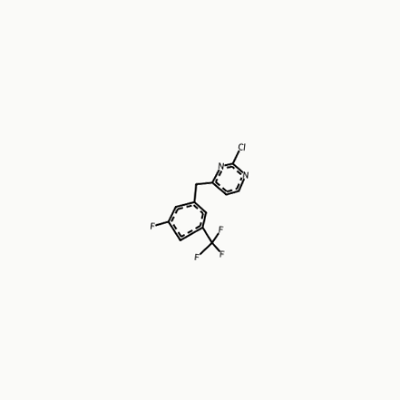 Fc1cc(Cc2ccnc(Cl)n2)cc(C(F)(F)F)c1